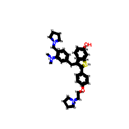 CN(C)c1cc(Cc2c(-c3ccc(OCCN4CCCC4)cc3)sc3cc(O)ccc23)ccc1CN1CCCC1